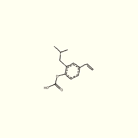 C=Cc1ccc(OC(=O)O)c(CC(C)C)c1